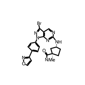 CNC(=O)[C@]1(C)CC[C@@H](Nc2ncc3c(Br)nn(-c4ccc(-c5ccon5)cc4)c3n2)C1